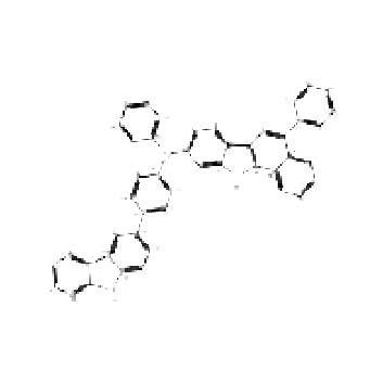 c1ccc(-c2cc3c4ccc(N(c5ccccc5)c5ccc(-c6ccc7oc8ccccc8c7c6)cc5)cc4oc3c3ccccc23)cc1